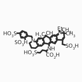 CC[N+]1=c2cc3c(cc2C(CS(=O)(=O)O)=CC1(C)C)=C(NC(CCS(=O)(=O)O)C(=O)O)c1cc2c(cc1C3(C)C)N(Cc1ccc(S(=O)(=O)O)cc1S(=O)(=O)O)CCC2